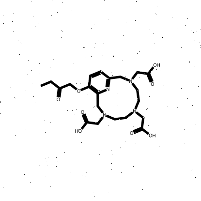 CCC(=O)COc1ccc2nc1CN(CC(=O)O)CCN(CC(=O)O)CCN(CC(=O)O)C2